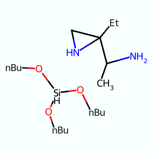 CCC1(C(C)N)CN1.CCCCO[SiH](OCCCC)OCCCC